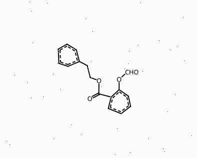 O=COc1ccccc1C(=O)OCCc1ccccc1